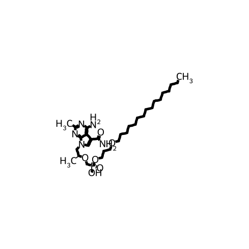 CCCCCCCCCCCCCCCCOCCCOP(=O)(O)CO[C@H](C)Cn1cc(C(N)=O)c2c(N)nc(C)nc21